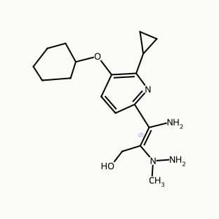 CN(N)/C(CO)=C(\N)c1ccc(OC2CCCCC2)c(C2CC2)n1